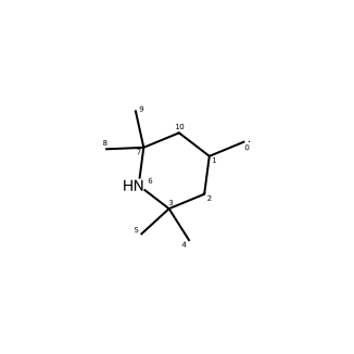 [CH2]C1CC(C)(C)NC(C)(C)C1